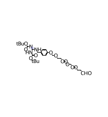 CC(C)(C)OC(=O)/N=C(/NCc1ccc(OCOCCOOOCOOCCC=O)cc1)NC(=O)OC(C)(C)C